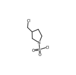 O=S(=O)(Cl)N1CCC(CCl)C1